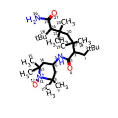 CC(C)(C)CC(C(=O)NC1CC(C)(C)[N+](=O)C(C)(C)C1)C(C)(C)CC(C)(C)C(C(N)=O)C(C)(C)C